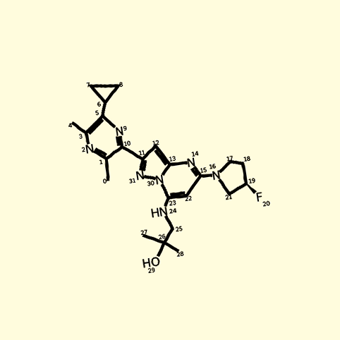 Cc1nc(C)c(C2CC2)nc1-c1cc2nc(N3CC[C@@H](F)C3)cc(NCC(C)(C)O)n2n1